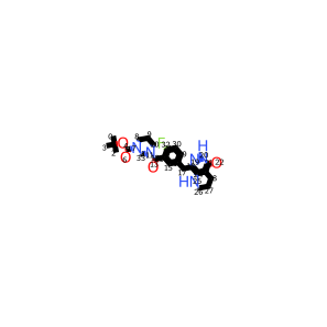 CC(C)(C)OC(=O)N1CCCN(C(=O)c2cc(Cc3n[nH]c(=O)c4c3NCCC4)ccc2F)C1